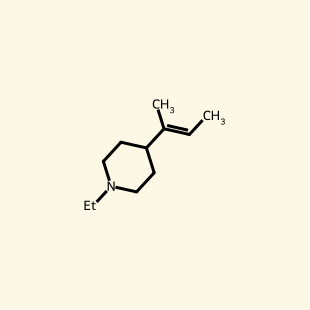 C/C=C(\C)C1CCN(CC)CC1